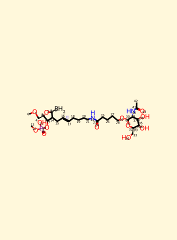 B[C@@H]1O[C@H](COC)[C@H](OP(=O)(O)OC)C1C/C=C/CCCCNC(=O)CCCCO[C@@H]1O[C@H](CO)[C@H](O)[C@H](O)[C@H]1NC(C)=O